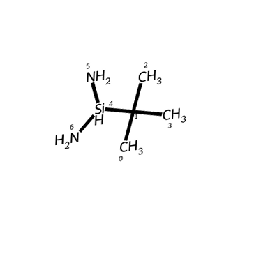 CC(C)(C)[SiH](N)N